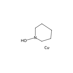 ON1CCCCC1.[Cu]